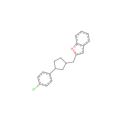 Clc1ccc(C2CC[C](Cc3cc4ccccc4o3)C2)cc1